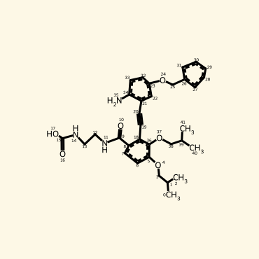 CC(C)COc1ccc(C(=O)NCCNC(=O)O)c(C#Cc2cc(OCc3ccccc3)ccc2N)c1OCC(C)C